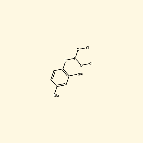 CC(C)(C)c1ccc(OP(OCl)OCl)c(C(C)(C)C)c1